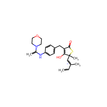 C=C/C(C)=C/C1(C)SC(=O)C(Cc2ccc(NC(=C)N3CCOCC3)cc2)=C1O